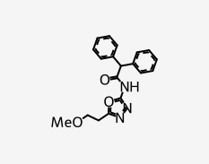 COCCc1nnc(NC(=O)C(c2ccccc2)c2ccccc2)o1